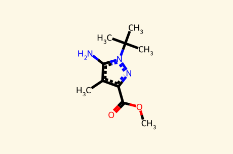 COC(=O)c1nn(C(C)(C)C)c(N)c1C